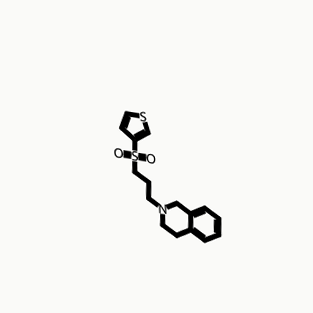 O=S(=O)(CCCN1CCc2ccccc2C1)c1ccsc1